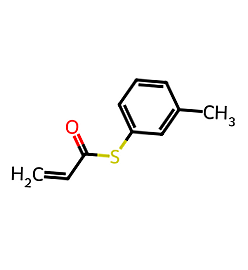 C=CC(=O)Sc1cccc(C)c1